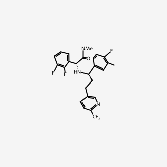 CNC(=O)[C@H](N[C@H](CCc1ccc(C(F)(F)F)nc1)c1ccc(F)c(C)c1)c1cccc(F)c1F